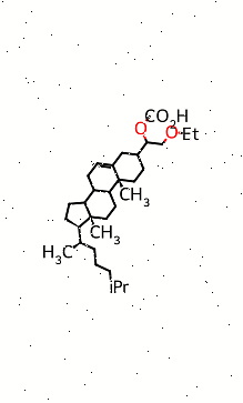 CCOCC(OC(=O)O)C1CC[C@@]2(C)C(=CCC3C2CC[C@@]2(C)C3CC[C@@H]2[C@H](C)CCCC(C)C)C1